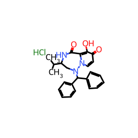 CC(C)C1CN(C(c2ccccc2)c2ccccc2)n2ccc(=O)c(O)c2C(=O)N1.Cl